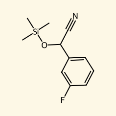 C[Si](C)(C)OC(C#N)c1cccc(F)c1